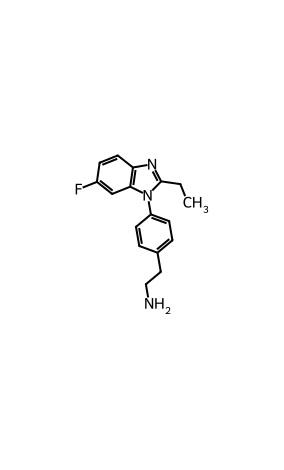 CCc1nc2ccc(F)cc2n1-c1ccc(CCN)cc1